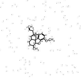 C=CCN1CC[C@@]23c4c5ccc(OC)c4OC2C(C)CCC3C1C5